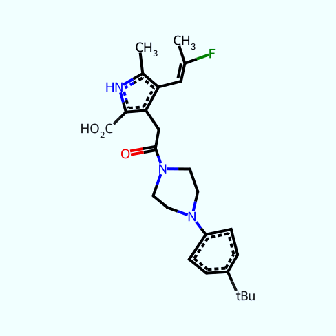 C/C(F)=C\c1c(C)[nH]c(C(=O)O)c1CC(=O)N1CCN(c2ccc(C(C)(C)C)cc2)CC1